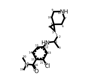 CC(C[C@@H]1CC12CCNCC2)Nc1ccc(C(=O)N(C)C)c(Cl)c1